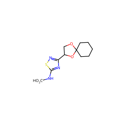 O=C(O)Nc1nc(C2COC3(CCCCC3)O2)ns1